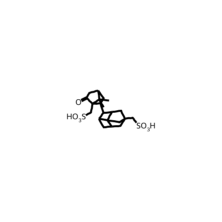 CC1(C)C2CC(=O)C1(CS(=O)(=O)O)C(C1C3CC4CC1CC(CS(=O)(=O)O)(C4)C3)C2